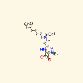 CCCCCCCCN(CCCCCCCC=O)CCCNc1c(NCC)c(=O)c1=O